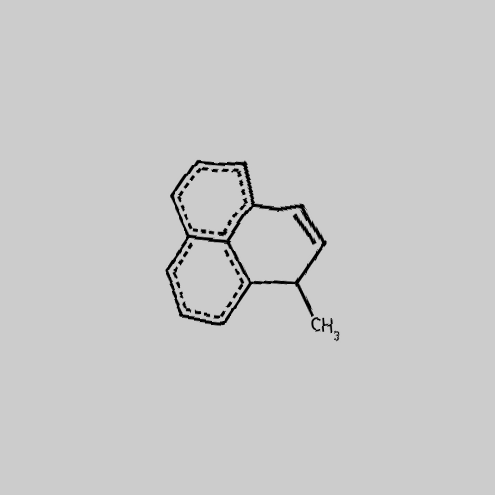 CC1C=Cc2cccc3cccc1c23